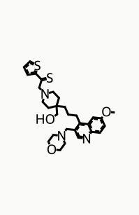 COc1ccc2ncc(CN3CCOCC3)c(CCCC3(CO)CCN(CC(=S)c4cccs4)CC3)c2c1